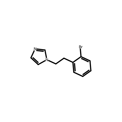 Brc1ccccc1CCn1ccnc1